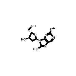 COc1ncc2nc(N)n([C@H]3C[C@@H](O)[C@H](CO)O3)c2n1